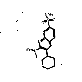 CNS(=O)(=O)c1ccc2nc(C3CCCCC3)c(N(C)C(C)C)nc2n1